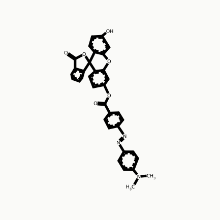 CN(C)c1ccc(N=Nc2ccc(C(=O)Oc3ccc4c(c3)Oc3cc(O)ccc3C43OC(=O)c4ccccc43)cc2)cc1